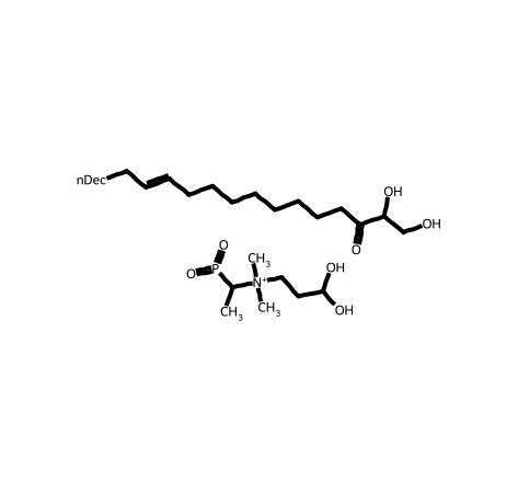 CC(P(=O)=O)[N+](C)(C)CCC(O)O.CCCCCCCCCCCC=CCCCCCCCCC(=O)C(O)CO